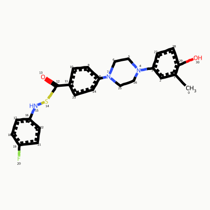 Cc1cc(N2CCN(c3ccc(C(=O)SNc4ccc(F)cc4)cc3)CC2)ccc1O